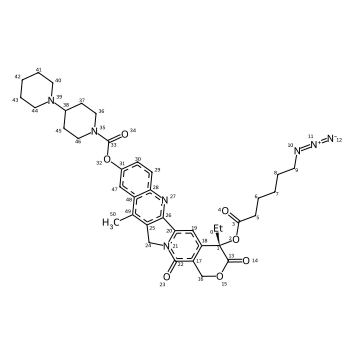 CC[C@@]1(OC(=O)CCCCCN=[N+]=[N-])C(=O)OCc2c1cc1n(c2=O)Cc2c-1nc1ccc(OC(=O)N3CCC(N4CCCCC4)CC3)cc1c2C